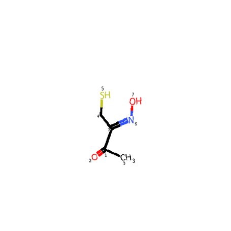 CC(=O)C(CS)=NO